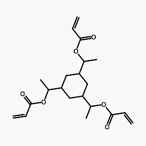 C=CC(=O)OC(C)C1CC(C(C)OC(=O)C=C)CC(C(C)OC(=O)C=C)C1